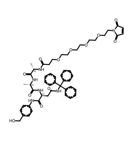 C[C@H](NC(=O)CCOCCOCCOCCOCCN1C(=O)C=CC1=O)C(=O)N[C@@H](C)C(=O)N[C@@H](CC(=O)NC(c1ccccc1)(c1ccccc1)c1ccccc1)C(=O)Nc1ccc(CO)cc1